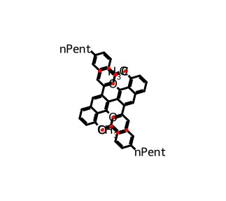 CCCCCc1ccc(C(=O)Oc2c(-c3c(-c4ccccc4)cc4cccc(C)c4c3OC(=O)c3ccc(CCCCC)cc3)c(-c3ccccc3)cc3cccc(C)c23)cc1